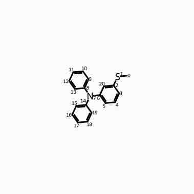 CSc1cccc(N(c2ccccc2)c2ccccc2)c1